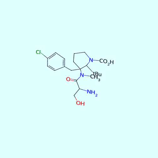 CN(C(=O)C(N)CO)C1(Cc2ccc(Cl)cc2)CCCN(C(=O)O)C1C(C)(C)C